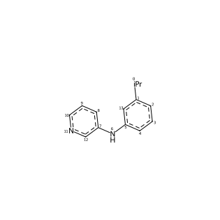 CC(C)c1cccc(Nc2cccnc2)c1